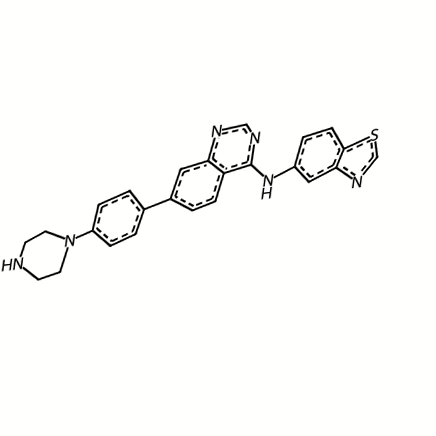 c1nc(Nc2ccc3scnc3c2)c2ccc(-c3ccc(N4CCNCC4)cc3)cc2n1